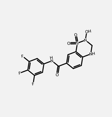 O=C(Nc1cc(F)c(F)c(F)c1)c1ccc2c(c1)S(=O)(=O)N(O)CN2